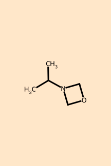 CC(C)N1COC1